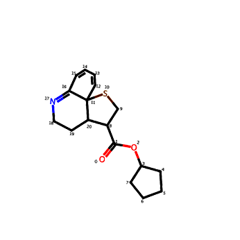 O=C(OC1CCCC1)C1CSC23C=CC=CC2=NCCC13